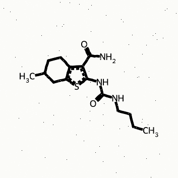 CCCCNC(=O)Nc1sc2c(c1C(N)=O)CCC(C)C2